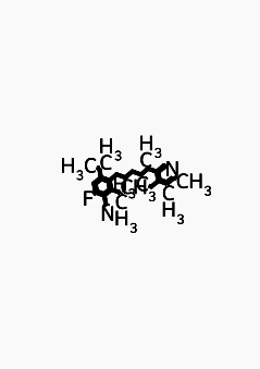 CCc1c(C(C)CCCCc2c(C(C)C)cc(F)c(C#N)c2C(C)C)cnc(C)c1C